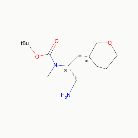 CN(C(=O)OC(C)(C)C)[C@@H](CN)C[C@H]1CCCOC1